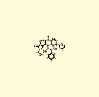 O=c1c2ccc(Nc3cc(N[C@H](CO)c4ccccc4)c(-c4nnco4)cn3)c(F)c2n2n1COCC2